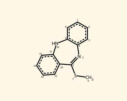 CSC1=Nc2ccccc2Nc2ccccc21